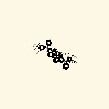 Cc1cc(N(c2ccccc2)c2ccc3c4c(ccc3c2)-c2ccc3cc(N(c5ccccc5)c5cc(C)c(C)c(C)c5)ccc3c2C42c3ccccc3-c3ccccc32)cc(C)c1C